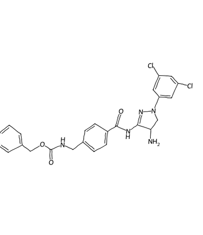 NC1CN(c2cc(Cl)cc(Cl)c2)N=C1NC(=O)c1ccc(CNC(=O)OCc2cccnc2)cc1